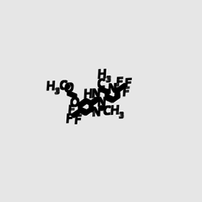 COCCOc1cc2c(N[C@H](C)c3cccc(C(F)(F)F)n3)nc(C)nc2cc1C(F)(F)F